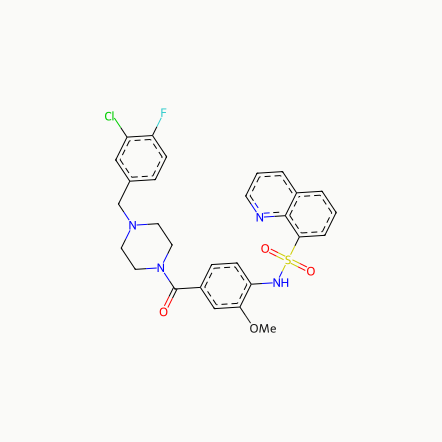 COc1cc(C(=O)N2CCN(Cc3ccc(F)c(Cl)c3)CC2)ccc1NS(=O)(=O)c1cccc2cccnc12